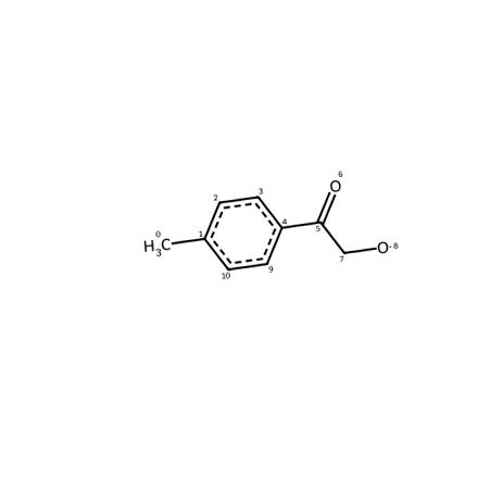 Cc1ccc(C(=O)C[O])cc1